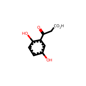 O=C(O)CC(=O)c1cc(O)ccc1O